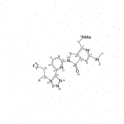 CNCc1nc(N(C)C)cc2c1CN(c1cccc(-c3nncn3C(C)CC(F)(F)F)n1)C2=O